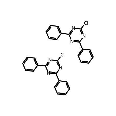 Clc1nc(-c2ccccc2)nc(-c2ccccc2)n1.Clc1nc(-c2ccccc2)nc(-c2ccccc2)n1